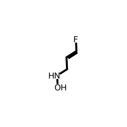 ONCC=CF